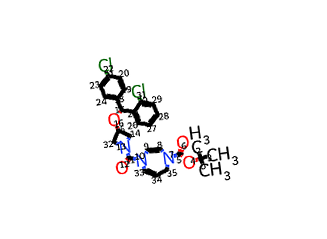 CC(C)(C)OC(=O)N1C=CN(C(=O)N2CC(OC(c3ccc(Cl)cc3)c3ccccc3Cl)C2)C=CC1